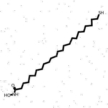 O=C(CCCCCCCCCCCCCCCCCCCCCCCS)NO